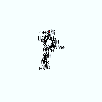 CCCC(C=O)NC(=O)CNC(=O)[C@H]1Cc2c([nH]c3ccccc23)[S+]([O-])C[C@H](NC(=O)CNC)C(=O)N[C@@H](CC(=O)NCc2ccc(NC(=O)[C@H](C)NC(=O)CNC(=O)CCN3C(=O)CC(S)C3=O)cc2)C(=O)C2CCC[C@H]2C(=O)N(C)C(C[C@@H](O)CO)C(=O)N1